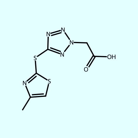 Cc1csc(Sc2nnn(CC(=O)O)n2)n1